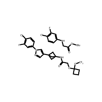 CC(C)(C)OC(=O)CNc1ccc(Cl)c(F)c1.O=C(COC1(OC(F)(F)F)CCC1)NC12CC(c3cnn(-c4ccc(Cl)c(F)c4)c3)(C1)C2